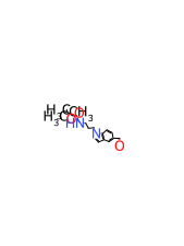 CC(C)(C)OC(=O)NCCCn1ccc2cc(C=O)ccc21